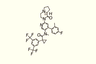 Cc1cc(F)ccc1-c1cc(N2CCN3CCC[C@H]3C2=O)ncc1N(C)C(=O)C1(c2cc(C(F)(F)F)cc(C(F)(F)F)c2)CC1